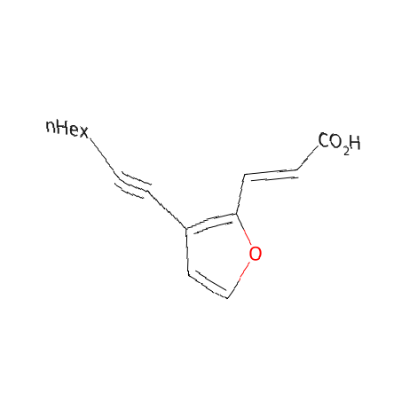 CCCCCCC#Cc1ccoc1/C=C/C(=O)O